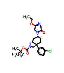 CCOC1=NCC(=O)N([C@H]2CC[C@@](CNC(=O)OC(C)(C)C)(c3cccc(Cl)c3)CC2)C1